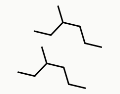 CCCC(C)CC.CCCC(C)CC